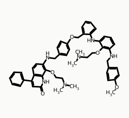 COc1ccc(CNc2cccc(Nc3ccccc3COc3ccc(CNc4ccc5c(-c6ccccc6)cc(=O)[nH]c5c4OCCN(C)C)cc3)c2OCCN(C)C)cc1